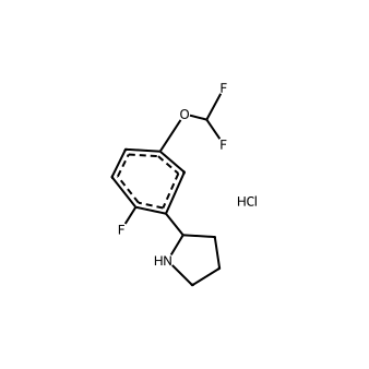 Cl.Fc1ccc(OC(F)F)cc1C1CCCN1